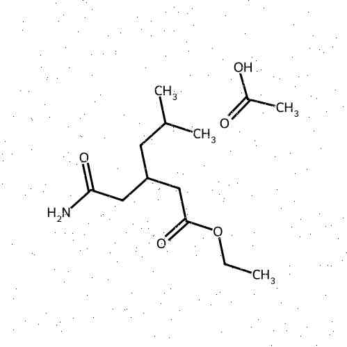 CC(=O)O.CCOC(=O)CC(CC(N)=O)CC(C)C